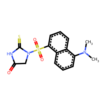 CN(C)c1cccc2c(S(=O)(=O)N3CC(=O)NC3=S)cccc12